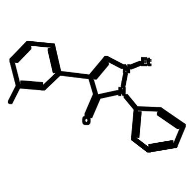 CCn1cc(-c2cccc(C)c2)c(=O)n1-c1ccccc1